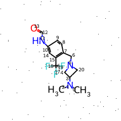 CN(C)C1CN(Cc2ccc(NC=O)cc2C(F)(F)F)C1